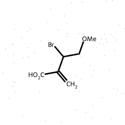 C=C(C(=O)O)C(Br)COC